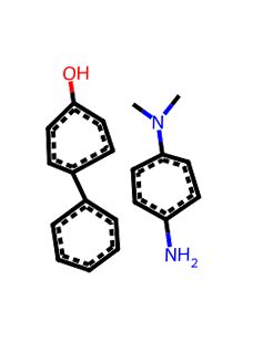 CN(C)c1ccc(N)cc1.Oc1ccc(-c2ccccc2)cc1